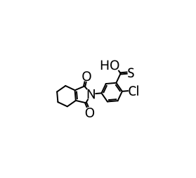 O=C1C2=C(CCCC2)C(=O)N1c1ccc(Cl)c(C(O)=S)c1